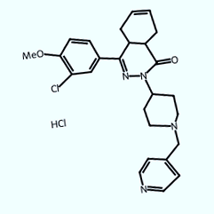 COc1ccc(C2=NN(C3CCN(Cc4ccncc4)CC3)C(=O)C3CC=CCC23)cc1Cl.Cl